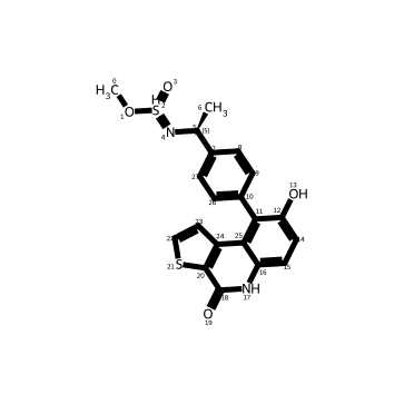 CO[SH](=O)=N[C@@H](C)c1ccc(-c2c(O)ccc3[nH]c(=O)c4sccc4c23)cc1